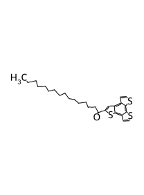 CCCCCCCCCCCCCCCC(=O)c1cc2c3ccsc3c3sccc3c2s1